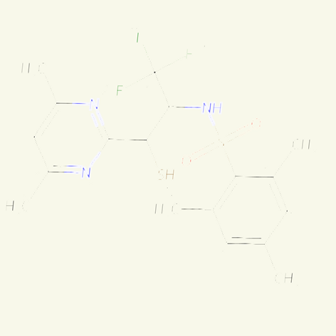 Cc1cc(C)c(S(=O)(=O)NC(C(S)c2nc(C)cc(C)n2)C(F)(F)F)c(C)c1